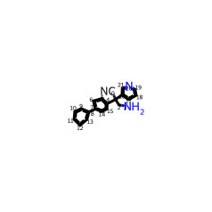 N#CC(CN)(c1ccc(-c2ccccc2)cc1)c1cccnc1